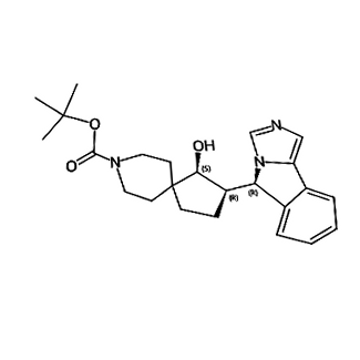 CC(C)(C)OC(=O)N1CCC2(CC[C@H]([C@@H]3c4ccccc4-c4cncn43)[C@@H]2O)CC1